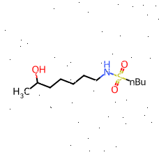 CCCCS(=O)(=O)NCCCCCC(C)O